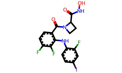 O=C(NO)C1CCN1C(=O)c1ccc(F)c(F)c1Nc1ccc(I)cc1F